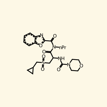 CCCN(C(=O)c1nc2ccccc2o1)C(=O)C(CS(=O)(=O)CC1CC1)NC(=O)N1CCOCC1